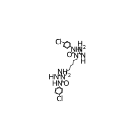 N=C(N)N(CCCCCCCN(C(=N)N)C(=O)Nc1ccc(Cl)cc1)C(=O)Nc1ccc(Cl)cc1